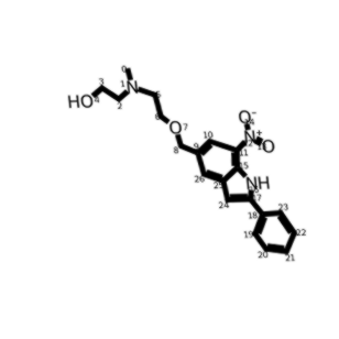 CN(CCO)CCOCc1cc([N+](=O)[O-])c2[nH]c(-c3ccccc3)cc2c1